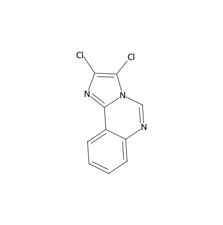 Clc1nc2c3ccccc3ncn2c1Cl